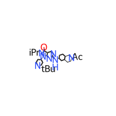 CC(=O)N1CCc2cc(Nc3ncc4c(=O)n(C(C)C)n(-c5ccnc(C(C)(C)C)c5)c4n3)ccc2C1